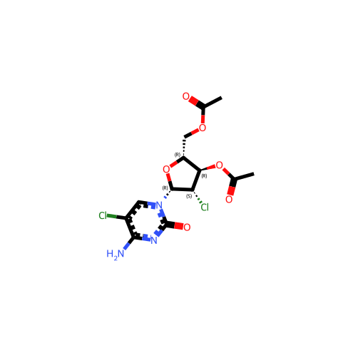 CC(=O)OC[C@H]1O[C@@H](n2cc(Cl)c(N)nc2=O)[C@@H](Cl)[C@@H]1OC(C)=O